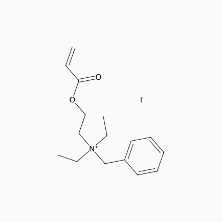 C=CC(=O)OCC[N+](CC)(CC)Cc1ccccc1.[I-]